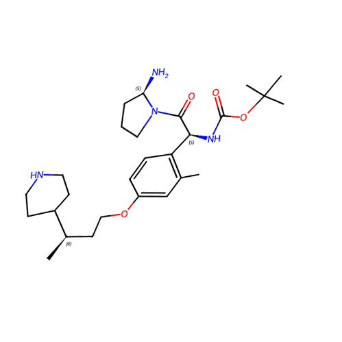 Cc1cc(OCC[C@@H](C)C2CCNCC2)ccc1[C@H](NC(=O)OC(C)(C)C)C(=O)N1CCC[C@H]1N